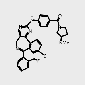 CNC1CCN(C(=O)c2ccc(Nc3ncc4c(n3)-c3ccc(Cl)cc3C(c3ccccc3CF)=NC4)cc2)C1